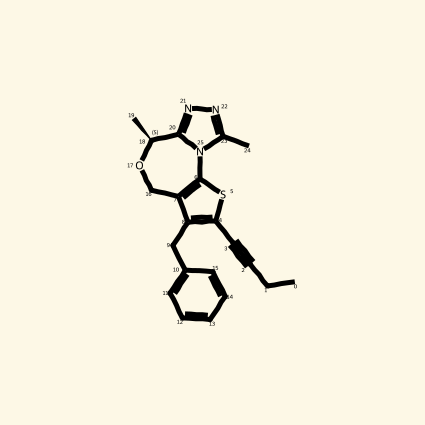 CCC#Cc1sc2c(c1Cc1ccccc1)CO[C@@H](C)c1nnc(C)n1-2